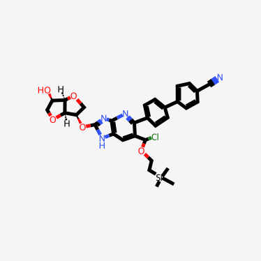 C[Si](C)(C)CCOC(Cl)c1cc2[nH]c(O[C@@H]3CO[C@H]4[C@@H]3OC[C@H]4O)nc2nc1-c1ccc(-c2ccc(C#N)cc2)cc1